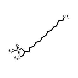 CCCCCCCCCCCCCCC(CC)CS(C)(=O)=O